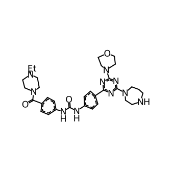 CCN1CCN(C(=O)c2ccc(NC(=O)Nc3ccc(-c4nc(N5CCCNCC5)nc(N5CCOCC5)n4)cc3)cc2)CC1